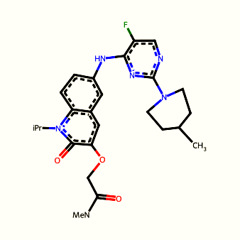 CNC(=O)COc1cc2cc(Nc3nc(N4CCC(C)CC4)ncc3F)ccc2n(C(C)C)c1=O